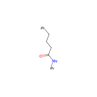 CC(C)CCCC(=O)NC(C)C